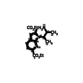 CCOC(=O)c1ccc2cc(C(=O)OCC)n(C(C)C(C)N)c2n1